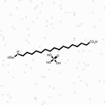 CCCCCCCCCCNCCCCCCCCCCCCCCCC(=O)O.O=P(O)(O)O